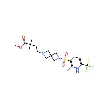 COC(=O)C(C)(C)CCN1CC2(C1)CN(S(=O)(=O)C1=C(C)NC(C(F)(F)F)=CC1)C2